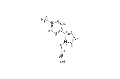 CCC#CCn1nncc1-c1ccc(C(F)(F)F)cc1